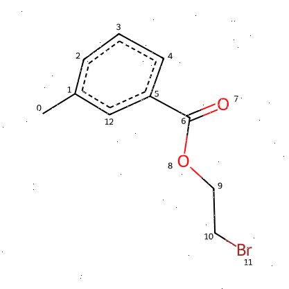 Cc1cccc(C(=O)OCCBr)c1